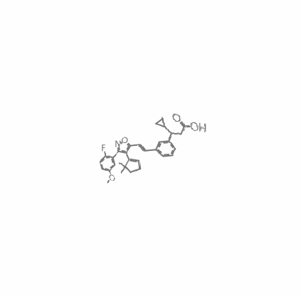 COc1ccc(F)c(-c2noc(C=Cc3cccc(C(CC(=O)O)C4CC4)c3)c2C2=CCCC2(C)C)c1